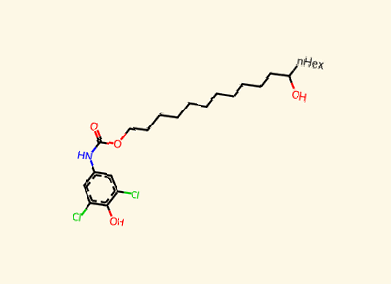 CCCCCCC(O)CCCCCCCCCCCOC(=O)Nc1cc(Cl)c(O)c(Cl)c1